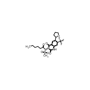 CCCCCC(=O)N(n1c(=O)[nH]c2cc(C(F)(F)F)c(C3CCCO3)cc2c1=O)S(C)(=O)=O